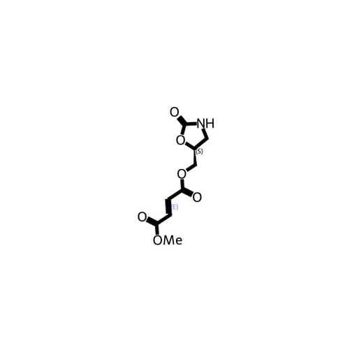 COC(=O)/C=C/C(=O)OC[C@@H]1CNC(=O)O1